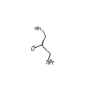 CCCCC(Cl)CCCC